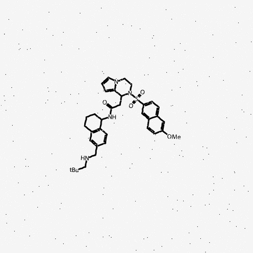 COc1ccc2cc(S(=O)(=O)N3CCn4cccc4C3CC(=O)NC3CCCc4cc(CNCC(C)(C)C)ccc43)ccc2c1